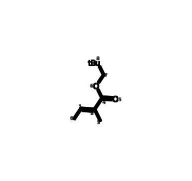 CC=C(C)C(=O)OCC(C)(C)C